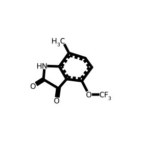 Cc1ccc(OC(F)(F)F)c2c1NC(=O)C2=O